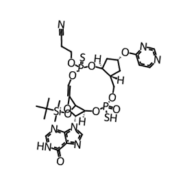 CC(C)(C)[Si](C)(C)OC1/C2=C\OP(=S)(OCCC#N)O[C@H]3C[C@H](Oc4ccncn4)C[C@@H]3COP(=O)(S)O[C@H]1[C@H](n1cnc3c(=O)[nH]cnc31)O2